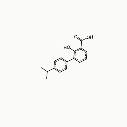 CC(C)c1ccc(-c2cccc(C(=O)O)c2O)cc1